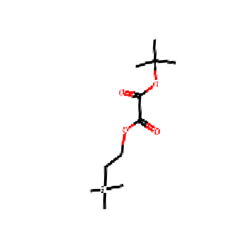 CC(C)(C)OC(=O)C(=O)OCC[Si](C)(C)C